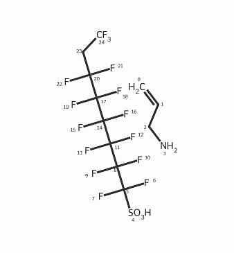 C=CCN.O=S(=O)(O)C(F)(F)C(F)(F)C(F)(F)C(F)(F)C(F)(F)C(F)(F)CC(F)(F)F